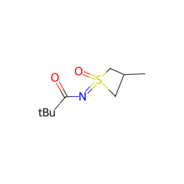 CC1CS(=O)(=NC(=O)C(C)(C)C)C1